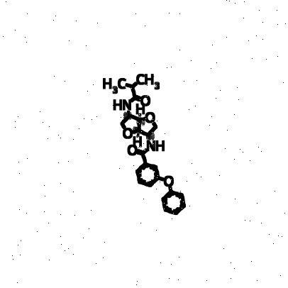 CC(C)C(=O)N[C@H]1CO[C@H]2[C@@H]1OC[C@@H]2NC(=O)c1cccc(Oc2ccccc2)c1